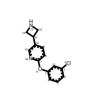 Clc1cccc(Oc2ccc(C3CNC3)cn2)c1